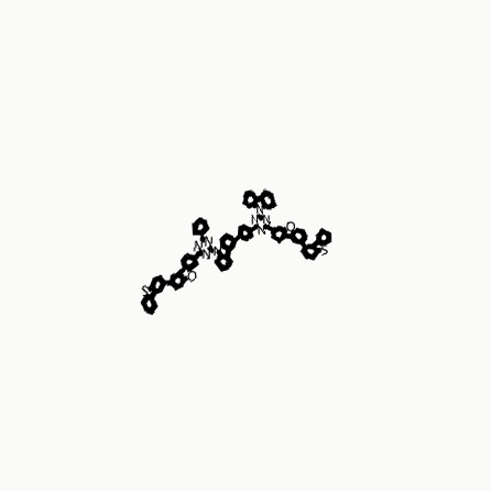 c1ccc(-c2nc(-c3ccc4c(c3)oc3ccc(-c5ccc6sc7ccccc7c6c5)cc34)nc(-n3c4ccccc4c4cc(-c5ccc(-c6nc(-c7ccc8c(c7)oc7ccc(-c9cccc%10sc%11ccccc%11c9%10)cc78)nc(-n7c8ccccc8c8ccccc87)n6)cc5)ccc43)n2)cc1